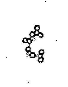 c1ccc2c(c1)c(-c1ccc3sc4ccc(-n5c6ccccc6c6ccccc65)cc4c3c1)cc1sc3c(ccc4c5ccccc5c5ccccc5c43)c12